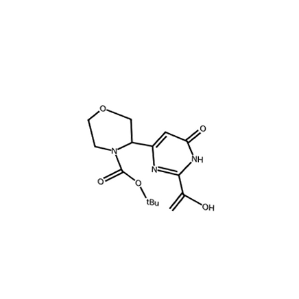 C=C(O)c1nc(C2COCCN2C(=O)OC(C)(C)C)cc(=O)[nH]1